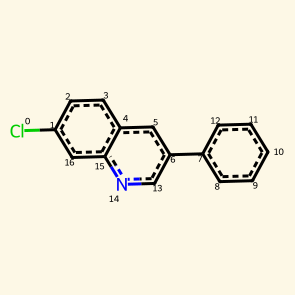 Clc1ccc2cc(-c3ccccc3)cnc2c1